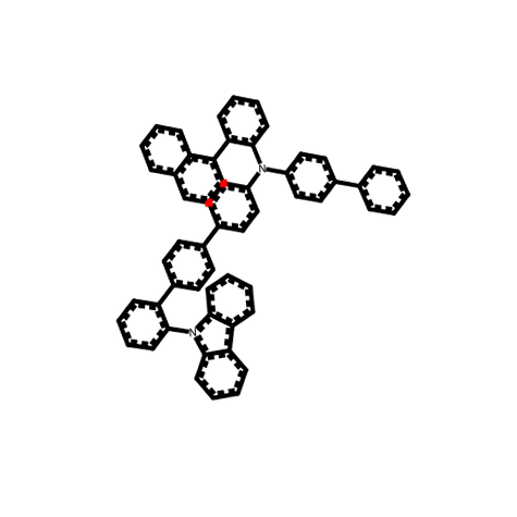 c1ccc(-c2ccc(N(c3ccc(-c4ccc(-c5ccccc5-n5c6ccccc6c6ccccc65)cc4)cc3)c3ccccc3-c3cccc4ccccc34)cc2)cc1